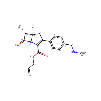 C=CCOC(=O)C1=C(c2ccc(CNC=O)cc2)C[C@@H]2[C@@H](C(C)C)C(=O)N12